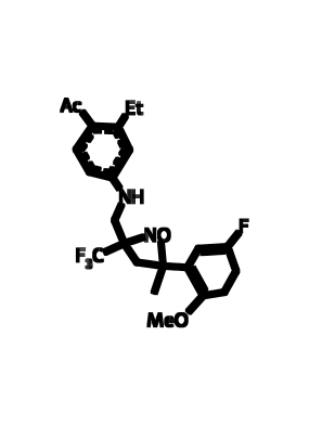 CCc1cc(NCC(CC(C)(C)C2=C(OC)CCC(F)=C2)(N=O)C(F)(F)F)ccc1C(C)=O